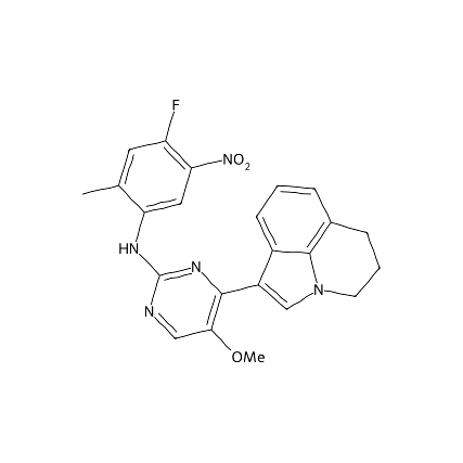 COc1cnc(Nc2cc([N+](=O)[O-])c(F)cc2C)nc1-c1cn2c3c(cccc13)CCC2